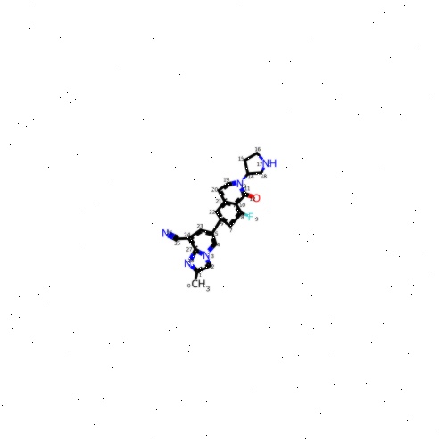 Cc1cn2cc(-c3cc(F)c4c(=O)n(C5CCNC5)ccc4c3)cc(C#N)c2n1